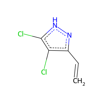 C=Cc1n[nH]c(Cl)c1Cl